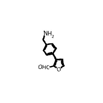 NCc1ccc(-c2ccoc2C=O)cc1